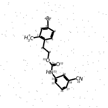 Cc1cc(Br)ccc1CCOC(=O)Nc1cccc(C#N)c1